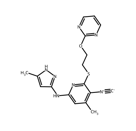 [C-]#[N+]c1c(C)cc(Nc2cc(C)[nH]n2)nc1SCCOc1ncccn1